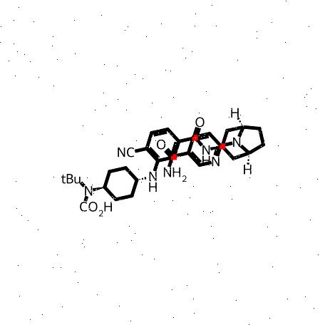 CC(C)(C)N(C(=O)O)[C@H]1CC[C@H](Nc2cc(C(=O)N[C@H]3C[C@H]4CC[C@@H](C3)N4c3ccc(C(N)=O)cn3)ccc2C#N)CC1